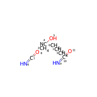 C.C.C.C.N#CO.N=C=O.N=C=O